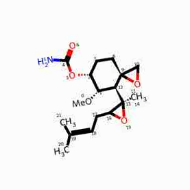 CO[C@@H]1[C@H](OC(N)=O)CC[C@]2(CO2)[C@H]1[C@@]1(C)OC1CC=C(C)C